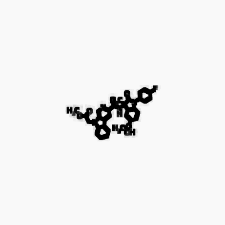 COC(=O)Cn1c2ccccc2c2cc(C(=O)N[C@]3(C)C(=O)N(c4ccc(F)cc4)c4ccc(OC)cc43)ncc21.Cl